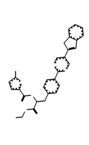 CC(C)(C)c1ccc(C(=O)NC(Cc2ccc(-c3ncc(C4=Cc5ccccc5C4)cn3)cc2)C(=O)NCC(=O)O)s1